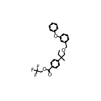 CCC(C)(COCc1cccc(Oc2ccccc2)c1)c1ccc(C(=O)OCC(F)(F)F)cc1